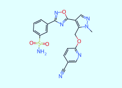 Cn1ncc(-c2nc(-c3cccc(S(N)(=O)=O)c3)no2)c1COc1ccc(C#N)cn1